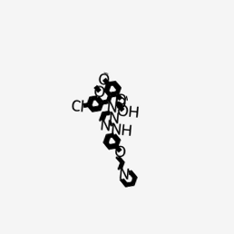 COc1ccc(OC)c(C(c2ccc(Cl)cc2OC)N(C(=O)O)c2ccnc(Nc3cccc(OCCCN4CCCCC4)c3)n2)c1